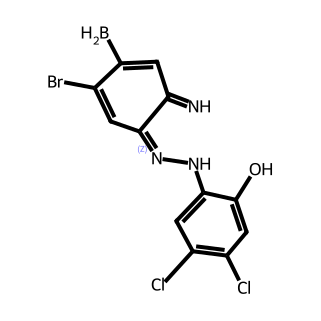 BC1=CC(=N)/C(=N\Nc2cc(Cl)c(Cl)cc2O)C=C1Br